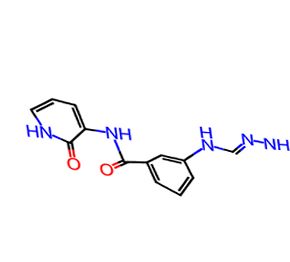 NN=CNc1cccc(C(=O)Nc2ccc[nH]c2=O)c1